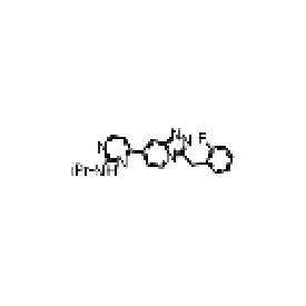 CC(C)Nc1nccc(-c2ccn3c(Cc4ccccc4F)nnc3c2)n1